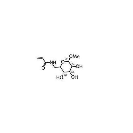 C=CC(=O)NCC1O[C@@H](OC)[C@@H](O)[C@@H](O)[C@@H]1O